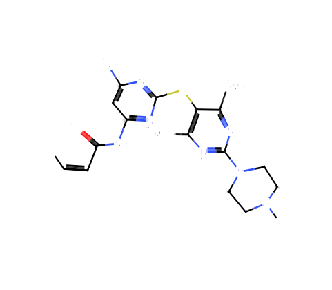 C/C=C\C(=O)Nc1cc(N)nc(Sc2c(OC)nc(N3CCN(C)CC3)nc2OC)n1